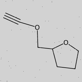 C#COCC1CCCO1